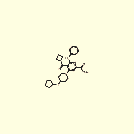 COC(=O)c1cc(N2CCC(OC3CCCC3)CC2)c(C(=N)C2CCC2)c(Nc2ccccc2)n1